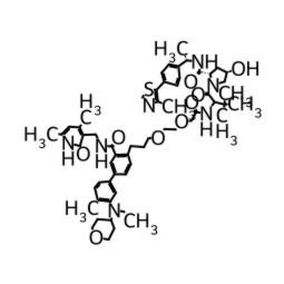 CCN(c1cc(-c2ccc(CCCOCCOCC(=O)NC(C(=O)N3C[C@H](O)C[C@H]3C(=O)N[C@@H](C)c3ccc(-c4scnc4C)cc3)C(C)(C)C)c(C(=O)NCc3c(C)cc(C)[nH]c3=O)c2)ccc1C)C1CCOCC1